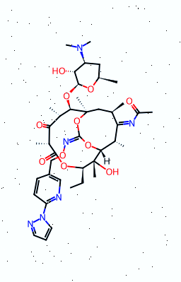 CC[C@H]1OC(=O)[C@H](C)C(=O)[C@H](C)[C@@H](O[C@@H]2O[C@H](C)C[C@H](N(C)C)[C@H]2O)[C@@]2(C)C[C@@H](C)/C(=N\C(C)=O)[C@H](C)[C@@H](O/C(=N\OCc3ccc(-n4cccn4)nc3)O2)[C@]1(C)O